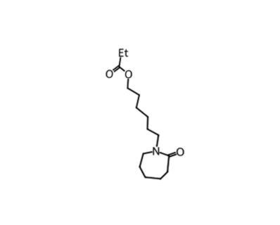 CCC(=O)OCCCCCCN1CCCCCC1=O